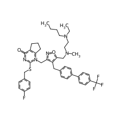 CCCCN(CC)CCN(C)Cc1onc(Cn2c(SCc3ccc(F)cc3)nc(=O)c3c2CCC3)c1Cc1ccc(-c2ccc(C(F)(F)F)cc2)cc1